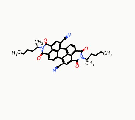 CCCC[C@@H](C)N1C(=O)c2ccc3c4c(C#N)cc5c6c(ccc(c7c(C#N)cc(c2c37)C1=O)c64)C(=O)N([C@H](C)CCCC)C5=O